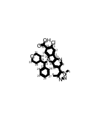 Cc1nnn(C)c1-c1cnc2c3cc(Cl)c(C(=O)O)cc3n(C(c3ccccc3)C3CCOCC3)c2c1